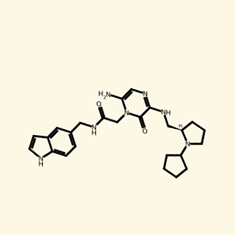 Nc1cnc(NC[C@H]2CCCN2C2CCCC2)c(=O)n1CC(=O)NCc1ccc2[nH]ccc2c1